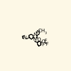 CN1C=NC(C(=O)N(Cc2cccc(OC(F)(F)F)c2)[C@@H]2CCC[C@H](CN3CCC3)C2)C1